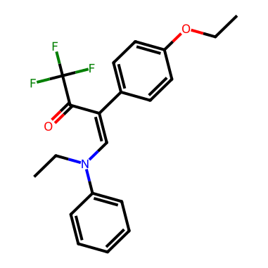 CCOc1ccc(/C(=C/N(CC)c2ccccc2)C(=O)C(F)(F)F)cc1